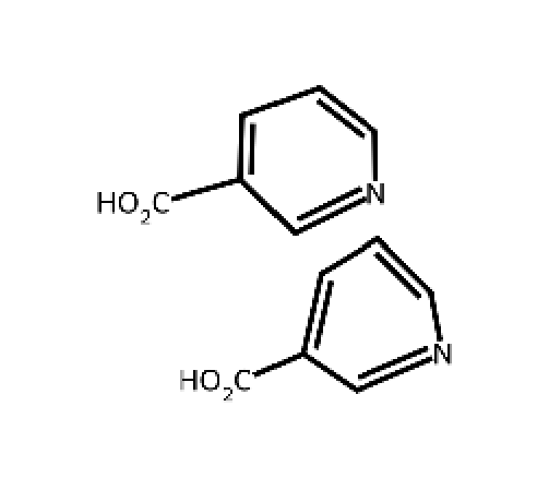 O=C(O)c1cccnc1.O=C(O)c1cccnc1